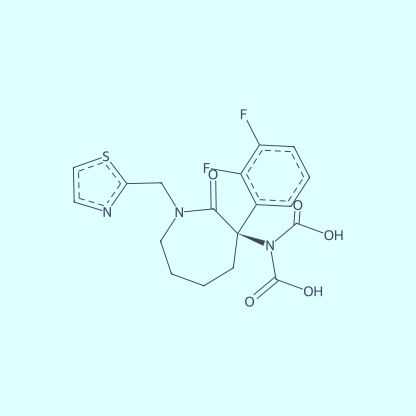 O=C(O)N(C(=O)O)[C@@]1(c2cccc(F)c2F)CCCCN(Cc2nccs2)C1=O